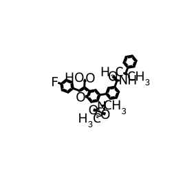 CN(c1cc2oc(-c3ccc(F)cc3)c(C(=O)O)c2cc1-c1cccc(C(=O)NC(C)(C)c2ccccc2)c1)S(C)(=O)=O